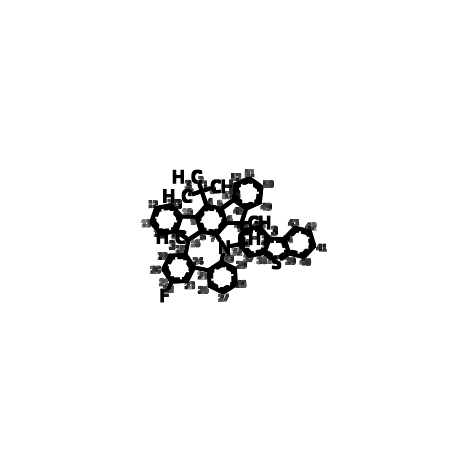 CC(C)(C)c1c2c(c3c4c1-c1ccccc1C4(C)c1ccc(F)cc1-c1ccccc1N3c1ccc3c(c1)sc1ccccc13)C(C)(C)c1ccccc1-2